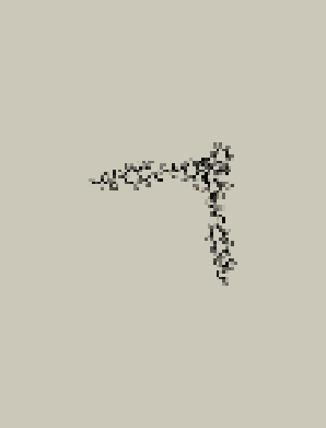 C=COC(=O)O[C@H]1C=Cc2cc(OCCOc3cc(C)c(C(=O)P(=O)(C(=O)c4c(C)cc(OCCOc5ccc6cc(OC(=O)OC)ccc6c5)cc4C)c4ccccc4)c(C)c3)ccc2C1